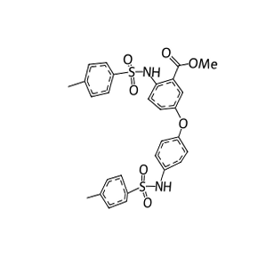 COC(=O)c1cc(Oc2ccc(NS(=O)(=O)c3ccc(C)cc3)cc2)ccc1NS(=O)(=O)c1ccc(C)cc1